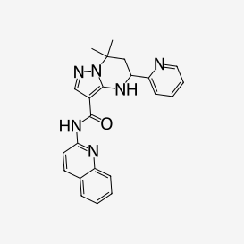 CC1(C)CC(c2ccccn2)Nc2c(C(=O)Nc3ccc4ccccc4n3)cnn21